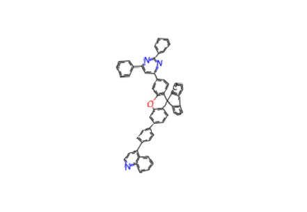 c1ccc(-c2cc(-c3ccc4c(c3)Oc3cc(-c5ccc(-c6ccnc7ccccc67)cc5)ccc3C43c4ccccc4-c4ccccc43)nc(-c3ccccc3)n2)cc1